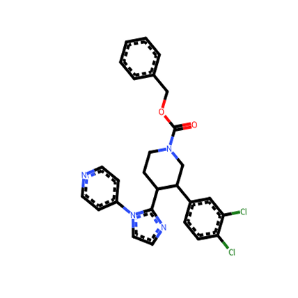 O=C(OCc1ccccc1)N1CCC(c2nccn2-c2ccncc2)C(c2ccc(Cl)c(Cl)c2)C1